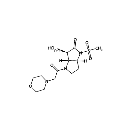 CCC[C@H]1C(=O)N(S(C)(=O)=O)[C@H]2CCN(C(=O)CN3CCOCC3)[C@H]12.Cl